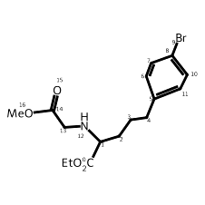 CCOC(=O)C(CCCc1ccc(Br)cc1)NCC(=O)OC